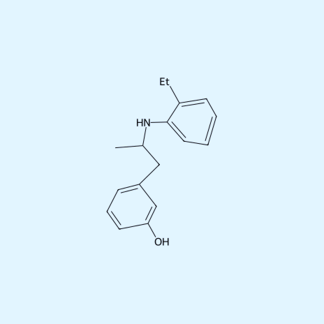 CCc1ccccc1NC(C)Cc1cccc(O)c1